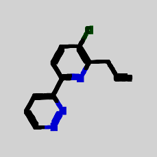 COCc1nc(-c2cccnn2)ccc1Cl